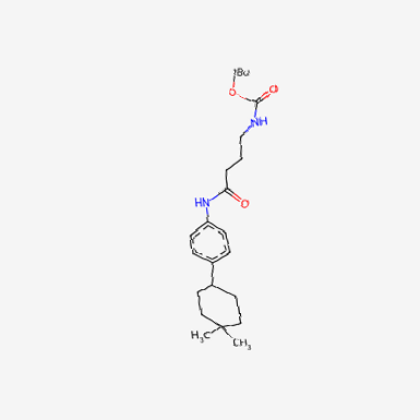 CC1(C)CCC(c2ccc(NC(=O)CCCNC(=O)OC(C)(C)C)cc2)CC1